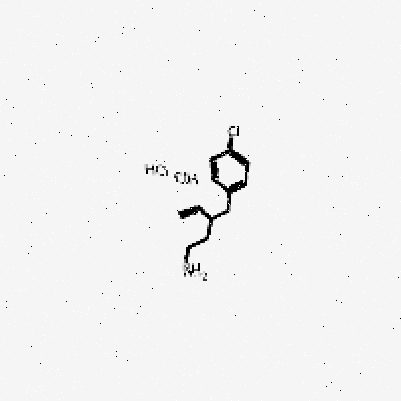 C=CC(CCN)Cc1ccc(Cl)cc1.Cl.Cl